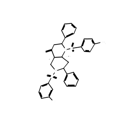 Cc1ccc(S(=O)(=O)N2C(c3ccccc3)CC(=O)[C@@H]3CN(S(=O)(=O)c4cccc(Cl)c4)C(c4ccccc4)C[C@@H]32)cc1